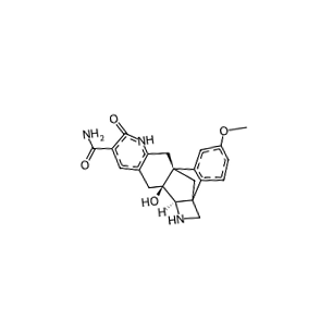 COc1ccc2c(c1)[C@@]13Cc4[nH]c(=O)c(C(N)=O)cc4C[C@@]1(O)[C@@H]1NCC21C3